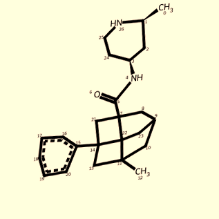 C[C@H]1C[C@@H](NC(=O)C23CC4CC5(C)CC(c6ccccc6)(C2)C53C4)CCN1